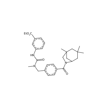 CCOC(=O)c1cccc(NC(=O)N(C)Cc2ccc(C(=O)N3CC4(C)CC3CC(C)(C)C4)cc2)c1